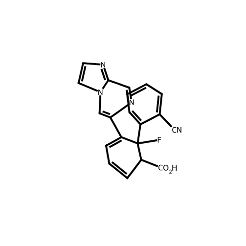 N#Cc1ccccc1C1(F)C(c2cn3ccnc3cn2)=CC=CC1C(=O)O